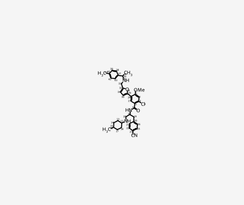 COc1cc(Cl)c(C(=O)NC(CNC2CCC(C)CC2)Cc2ccc(C#N)cc2)cc1-c1ccc(CNC(C)c2ccc(C)cc2)o1